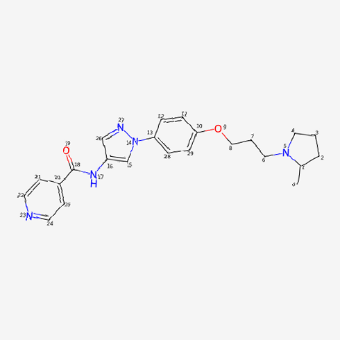 CC1CCCN1CCCOc1ccc(-n2cc(NC(=O)c3ccncc3)cn2)cc1